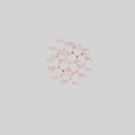 BBB(B)B(B(B)B)B(B(B(B(B)B)B(B)B)B(B(B)B)B(B)B)B(B(B(B(B)B)B(B)B)B(B(B)B)B(B)B)B(B(B(B)B)B(B)B)B(B(B)B)B(B)B